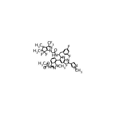 C[C@@H]1c2c(C(F)(F)F)nn(CC(=O)NC(Cc3cc(F)cc(F)c3)c3nc4nc(-c5cnn(C)c5)sc4cc3-c3cccc4c(NS(C)(=O)=O)nn(C)c34)c2C(F)(F)[C@@H]1C